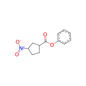 O=C(Oc1ccccc1)C1CCC([N+](=O)[O-])C1